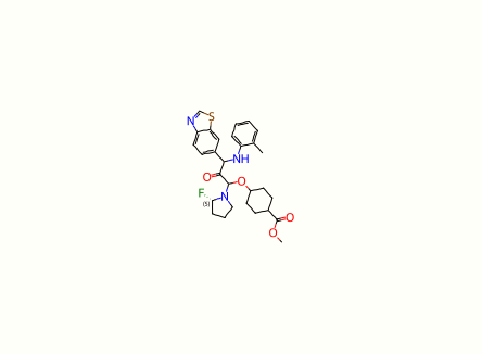 COC(=O)C1CCC(OC(C(=O)C(Nc2ccccc2C)c2ccc3ncsc3c2)N2CCC[C@@H]2F)CC1